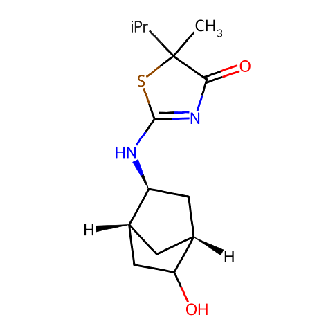 CC(C)C1(C)SC(N[C@H]2C[C@H]3C[C@@H]2CC3O)=NC1=O